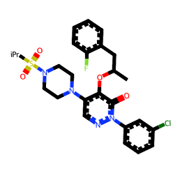 CC(Cc1ccccc1F)Oc1c(N2CCN(S(=O)(=O)C(C)C)CC2)cnn(-c2cccc(Cl)c2)c1=O